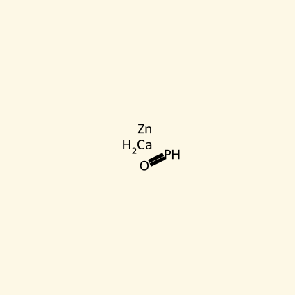 O=P.[CaH2].[Zn]